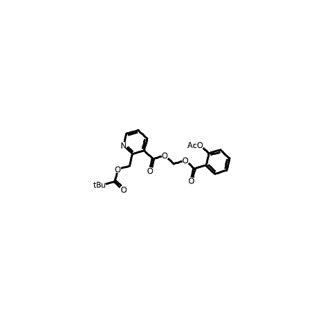 CC(=O)Oc1ccccc1C(=O)OCOC(=O)c1cccnc1COC(=O)C(C)(C)C